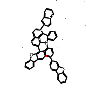 c1ccc(-c2ccccc2N(c2ccc(-c3ccc4c(c3)sc3ccccc34)cc2)c2ccccc2-c2cccc3c2oc2ccccc23)c(-c2ccc3ccccc3c2)c1